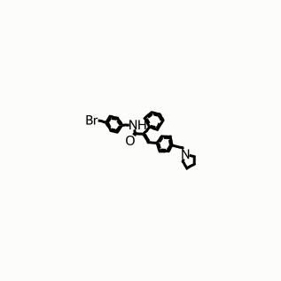 O=C(Nc1ccc(Br)cc1)C(=Cc1ccc(CN2CCCC2)cc1)c1ccccc1